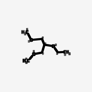 CCOC(COC)COC